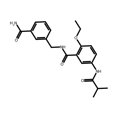 CCOc1ccc(NC(=O)C(C)C)cc1C(=O)NCc1cccc(C(N)=O)c1